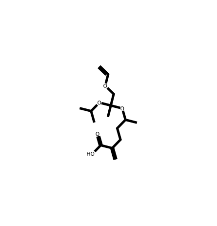 C=COCC(C)(OC(C)C)OC(C)CCC(=C)C(=O)O